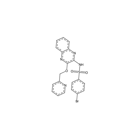 O=S(=O)(Nc1nc2ccccc2nc1OCc1ccccn1)c1ccc(Br)cc1